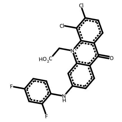 O=C(O)Cn1c2cc(Nc3ccc(F)cc3F)ccc2c(=O)c2ccc(Cl)c(Cl)c21